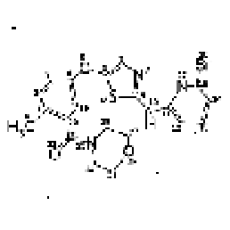 Cc1ccc(Oc2cnc(Nc3cccc(Br)n3)s2)cc1C(=O)N1CCOCC1